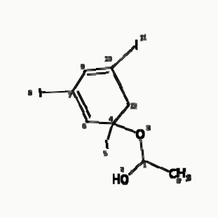 CC(O)OC1(I)C=C(I)C=C(I)C1